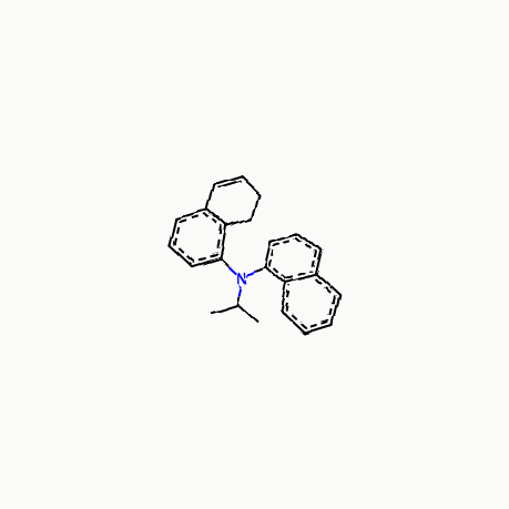 CC(C)N(c1cccc2c1CCC=C2)c1cccc2ccccc12